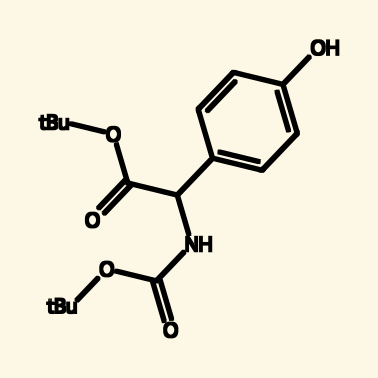 CC(C)(C)OC(=O)NC(C(=O)OC(C)(C)C)c1ccc(O)cc1